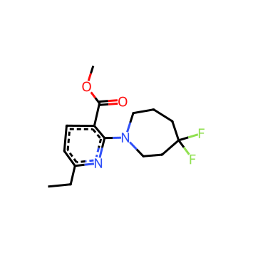 CCc1ccc(C(=O)OC)c(N2CCCC(F)(F)CC2)n1